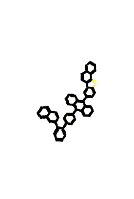 c1ccc(-c2ccc3ccccc3c2)c(-c2ccc(-c3c4ccccc4c(-c4ccc5sc6c7ccccc7ccc6c5c4)c4ccccc34)cc2)c1